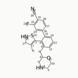 CC1=C(c2c(CC3CNCCO3)cccc2-c2ccc(C#N)c(F)c2)SNC1